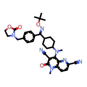 CN(c1c(C#N)c(=O)n(C)c2ccc(C#N)nc12)C1CCC(/C(=N/OC(C)(C)C)c2ccc(CN3CCOC3=O)cc2)CC1